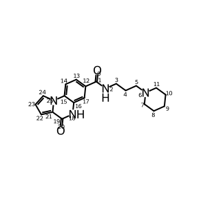 O=C(NCCCN1CCCCC1)c1ccc2c(c1)[nH]c(=O)c1cccn12